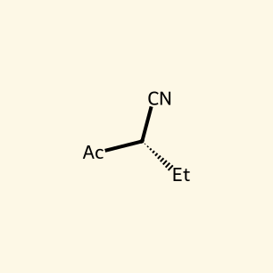 CC[C@@H](C#N)C(C)=O